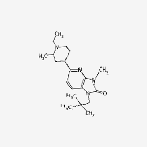 CCN1CCC(c2ccc3c(n2)n(C)c(=O)n3CC(C)(C)C)CC1C